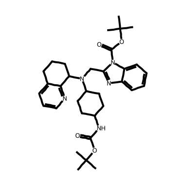 CC(C)(C)OC(=O)NC1CCC(N(Cc2nc3ccccc3n2C(=O)OC(C)(C)C)C2CCCc3cccnc32)CC1